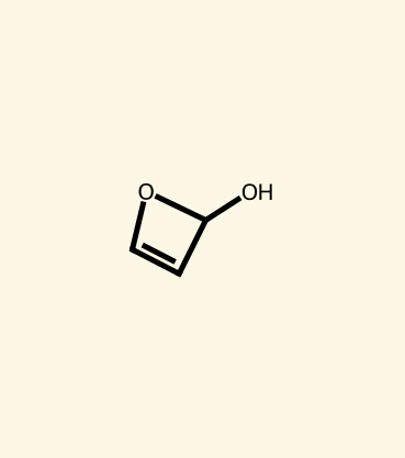 OC1C=CO1